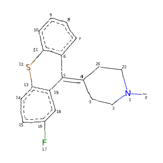 CN1CCC(=C2c3ccccc3Sc3ccc(F)cc32)CC1